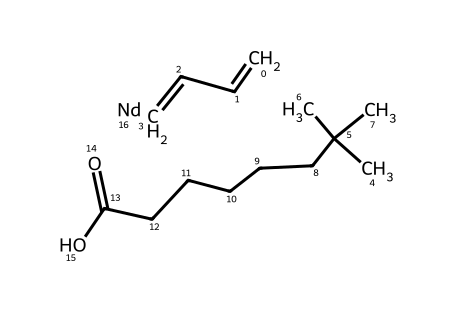 C=CC=C.CC(C)(C)CCCCCC(=O)O.[Nd]